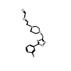 O=COCCN1CCN(Cc2noc(-c3cccc(F)c3)n2)CC1